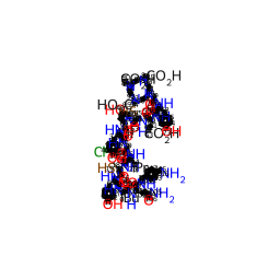 CCC(C)[C@H](NC(=O)[C@H](Cc1ccc(O)cc1)NC(=O)[C@H](CS)NC(=O)[C@H](CC(C)C)NC(=O)CNC(=O)[C@H](Cc1ccc(O)c(Cl)c1)NC(=O)[C@@H]1C[C@@H](O)CN1C(=O)[C@H](CS)NC(=O)[C@@H](CCC(=O)O)NC(=O)[C@H](Cc1ccc(O)cc1)NC(=O)CN1CCN(CC(=O)O)CCN(CC(=O)O)CCN(CC(=O)O)CC1)C(=O)N[C@@H](CCC(N)=O)C(=O)NCc1ccc(CN)cc1